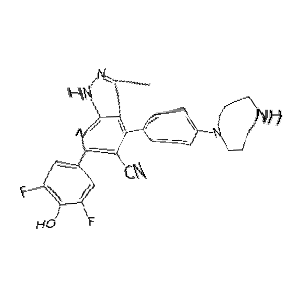 Cc1n[nH]c2nc(-c3cc(F)c(O)c(F)c3)c(C#N)c(-c3ccc(N4CCNCC4)cc3)c12